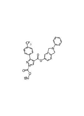 CC(C)(C)OC(=O)n1cc(C(=O)Oc2ccc3c(c2)CN(c2ccccc2)C3)c(-c2ccc(C(F)(F)F)cc2)n1